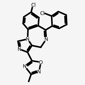 Cc1noc(-c2ncn3c2CN=C(c2ccccc2Cl)c2cc(Cl)ccc2-3)n1